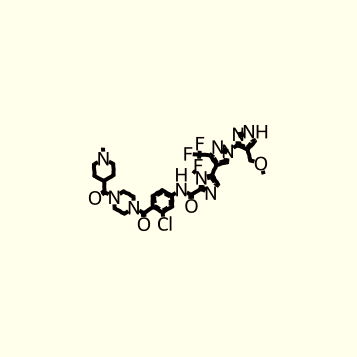 COCc1c[nH]nc1-n1cc(-c2cnc(C(=O)Nc3ccc(C(=O)N4CCN(C(=O)C5CCN(C)CC5)CC4)c(Cl)c3)n2C)c(C(F)(F)F)n1